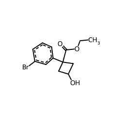 CCOC(=O)C1(c2cccc(Br)c2)CC(O)C1